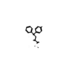 CN(O)C(=O)C(=O)CC(O)(c1ccccc1)c1ccc(Br)cc1